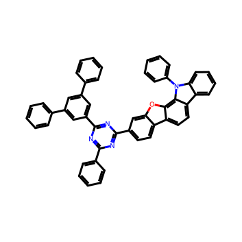 c1ccc(-c2cc(-c3ccccc3)cc(-c3nc(-c4ccccc4)nc(-c4ccc5c(c4)oc4c5ccc5c6ccccc6n(-c6ccccc6)c54)n3)c2)cc1